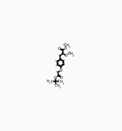 COC(=O)C(Cc1ccc(OCC(=O)OC(C)(C)C)cc1)OC